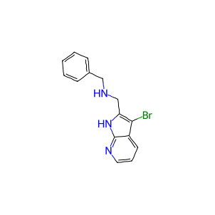 Brc1c(CNCc2ccccc2)[nH]c2ncccc12